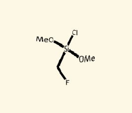 CO[Si](Cl)(CF)OC